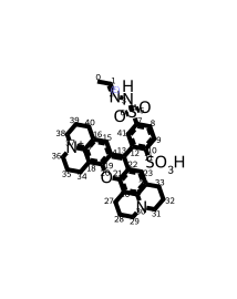 C/C=N/NS(=O)(=O)c1ccc(S(=O)(=O)O)c(C2=c3cc4c5c(c3Oc3c2cc2c6c3CCCN6CCC2)CCC[N+]=5CCC4)c1